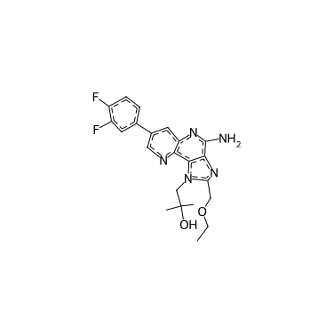 CCOCc1nc2c(N)nc3cc(-c4ccc(F)c(F)c4)cnc3c2n1CC(C)(C)O